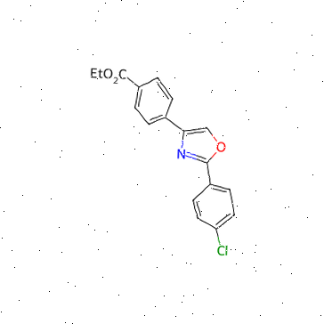 CCOC(=O)c1ccc(-c2coc(-c3ccc(Cl)cc3)n2)cc1